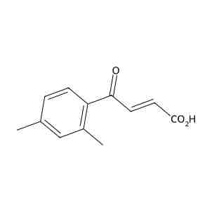 Cc1ccc(C(=O)C=CC(=O)O)c(C)c1